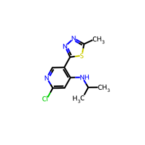 Cc1nnc(-c2cnc(Cl)cc2NC(C)C)s1